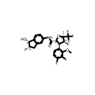 COc1c([C@H]2[C@H](C(=O)Nc3ccc4c(c3)C[C@H](F)[C@@H]4O)O[C@@](C)(C(F)(F)F)[C@H]2C)ccc(F)c1F